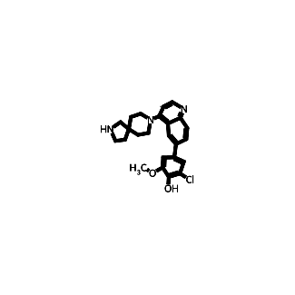 COc1cc(-c2ccc3nc[c]c(N4CCC5(CCNC5)CC4)c3c2)cc(Cl)c1O